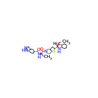 CC[C@@H](NC(=O)c1ccc2[nH]ncc2c1)C(=O)N1CCc2sc(C(=O)Nc3cccc(C)c3C)cc2C1